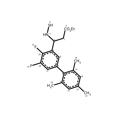 CCOC(=O)CC(NS)c1cc(-c2c(C)cc(C)cc2C)cc(F)c1F